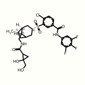 C[C@H]1CC2C[C@@H](S(=O)(=O)c3cc(C(=O)Nc4cc(F)c(F)c(F)c4)ccc3Cl)C[C@H]1[C@@]2(O)CNC(=O)C1CC1(O)CO